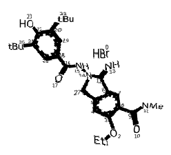 Br.CCOc1cc2c(cc1C(=O)NC)C(=N)N(NC(=O)c1cc(C(C)(C)C)c(O)c(C(C)(C)C)c1)C2